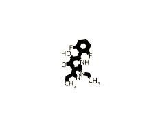 CCc1nn(CC)c2[nH]c(-c3c(F)cccc3F)c(O)c(=O)c12